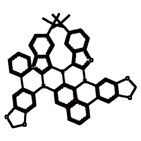 CC(C)(C)c1ccc2oc3c(c2c1)B1c2c(cccc2N(c2cc4c(cc2-c2ccccc2)OCO4)c2oc4ccc(C(C)(C)C)cc4c21)N3c1cc2c(cc1-c1ccccc1)OCO2